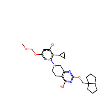 COCOc1cc(Cl)c(C2CC2)c(N2CCc3c(O)nc(OCC45CCCN4CCC5)nc3C2)c1